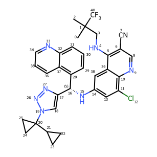 CC(C)(CNc1c(C#N)cnc2c(Cl)cc(N[C@H](c3cn(C4(C5CC5)CC4)nn3)c3cccc4ncccc34)cc12)C(F)(F)F